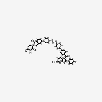 O=C1CCC(N2Cc3cc(N4CCN(CCCN5CCN(c6ccc(C(=O)c7c(-c8ccc(F)cc8)sc8cc(O)ccc78)cc6)CC5)CC4)ccc3C2=O)C(=O)N1